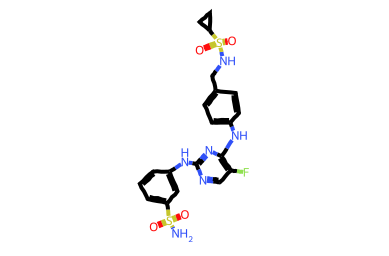 NS(=O)(=O)c1cccc(Nc2ncc(F)c(Nc3ccc(CNS(=O)(=O)C4CC4)cc3)n2)c1